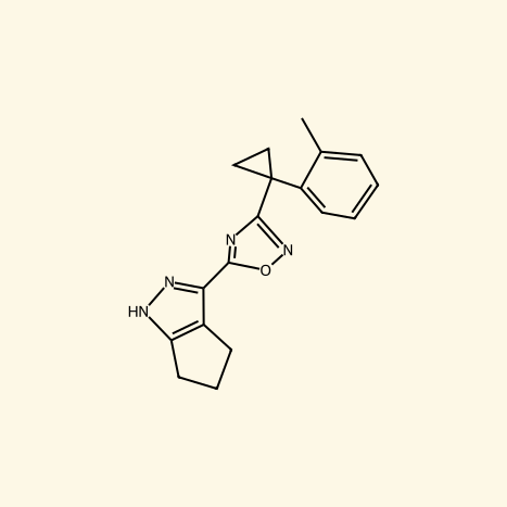 Cc1ccccc1C1(c2noc(-c3n[nH]c4c3CCC4)n2)CC1